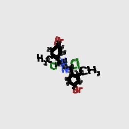 Cc1cc(Br)ccc1/C(Cl)=N/N=C(\Cl)c1ccc(Br)cc1C